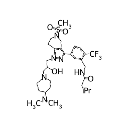 CC(C)CC(=O)NCc1cc(-c2nn(CC(O)CN3CCC(N(C)C)CC3)c3c2CN(S(C)(=O)=O)CC3)ccc1C(F)(F)F